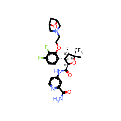 C[C@H]1[C@@H](c2ccc(F)c(F)c2OCCN2CC3CC(C2)O3)[C@H](C(=O)Nc2ccnc(C(N)=O)c2)O[C@@]1(C)C(F)(F)F